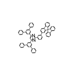 c1ccc(-c2cc(-c3ccccc3)cc(-c3cc(-c4cc(-c5ccccc5)cc(-c5ccccc5)c4)nc(-c4cccc(-c5ccc6c(c5)C5(c7ccccc7-c7ccccc75)c5ccccc5-6)c4)n3)c2)cc1